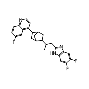 CC(Cc1nc2cc(F)c(F)cc2[nH]1)C1CC2CC1CC2c1ccnc2ccc(F)cc12